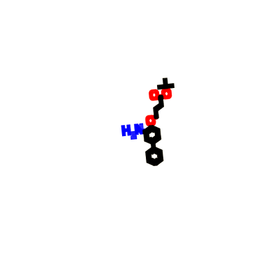 CC(C)(C)OC(=O)CCCOc1ccc(-c2ccccc2)cc1N